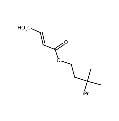 CC(C)C(C)(C)CCOC(=O)C=CC(=O)O